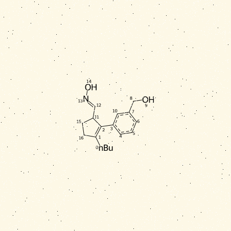 CCCCC1=C(c2cccc(CO)c2)C(C=NO)CC1